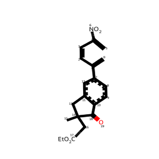 C=C(/C=C\C(=C)[N+](=O)[O-])c1ccc2c(c1)CC(C)(CC(=O)OCC)C2=O